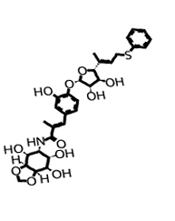 C/C(=C\c1ccc(O[C@@H]2O[C@H](/C(C)=C/CSc3ccccc3)[C@@H](O)[C@@H]2O)c(O)c1)C(=O)N[C@@H]1[C@H](O)[C@@H](O)[C@H]2OCO[C@H]2[C@@H]1O